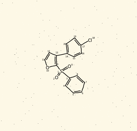 O=S(=O)(c1ccccc1)c1occc1-c1ccc(Cl)cc1